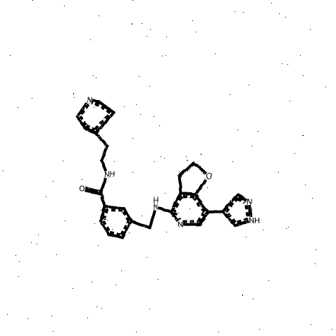 O=C(NCCc1ccncc1)c1cccc(CNc2ncc(-c3cn[nH]c3)c3c2CCO3)c1